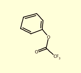 O=C(Oc1[c]cccc1)C(F)(F)F